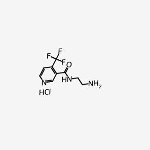 Cl.NCCNC(=O)c1cnccc1C(F)(F)F